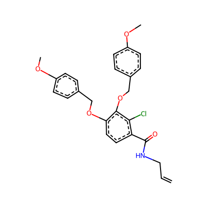 C=CCNC(=O)c1ccc(OCc2ccc(OC)cc2)c(OCc2ccc(OC)cc2)c1Cl